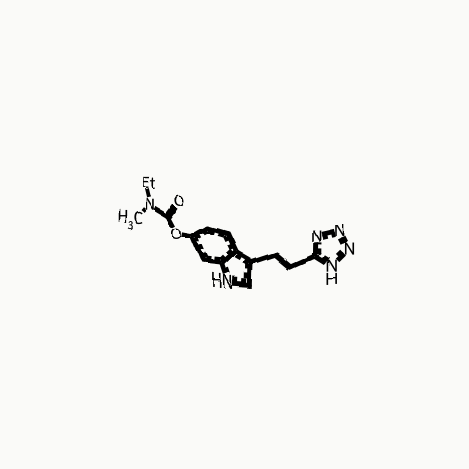 CCN(C)C(=O)Oc1ccc2c(CCc3nnn[nH]3)c[nH]c2c1